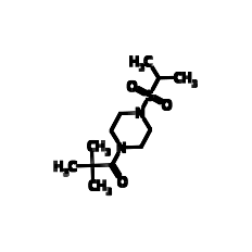 CC(C)S(=O)(=O)N1CCN(C(=O)C(C)(C)C)CC1